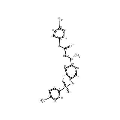 Cc1ccc(S(=O)(=O)Oc2ccc([C@@H](C)NC(=O)Cc3ccc(C(C)C)cc3)nc2)cc1